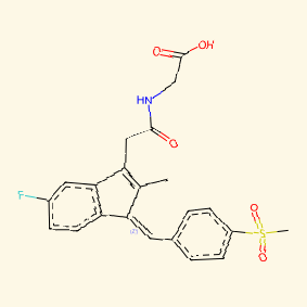 CC1=C(CC(=O)NCC(=O)O)c2cc(F)ccc2/C1=C/c1ccc(S(C)(=O)=O)cc1